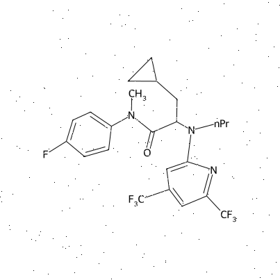 CCCN(c1cc(C(F)(F)F)cc(C(F)(F)F)n1)C(CC1CC1)C(=O)N(C)c1ccc(F)cc1